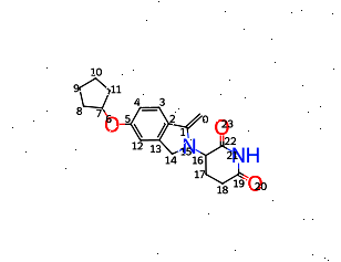 C=C1c2ccc(OC3CCCC3)cc2CN1C1CCC(=O)NC1=O